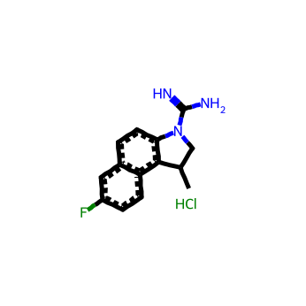 CC1CN(C(=N)N)c2ccc3cc(F)ccc3c21.Cl